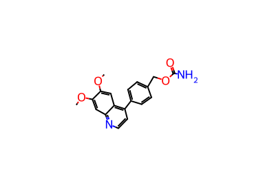 COc1cc2nccc(-c3ccc(COC(N)=O)cc3)c2cc1OC